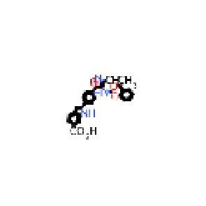 Cc1noc(-c2ccc(-c3cc4ccc(C(=O)O)cc4[nH]3)cc2)c1NC(=O)OC(C)c1ccccc1